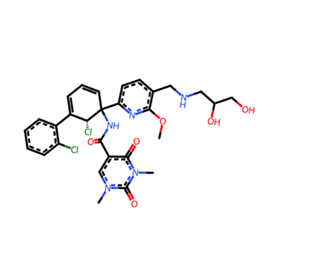 COc1nc(C2(NC(=O)c3cn(C)c(=O)n(C)c3=O)C=CC=C(c3ccccc3Cl)[C@H]2Cl)ccc1CNCC(O)CO